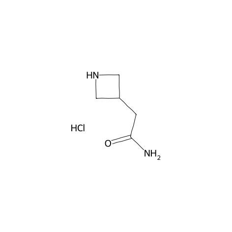 Cl.NC(=O)CC1CNC1